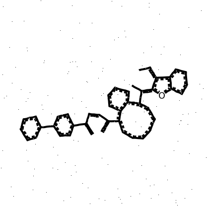 C=C(/C=C\C(=C)c1ccccccc(/C(C)=c2\oc3ccccc3\c2=C\C)c2ccccc12)c1ccc(-c2ccccc2)cc1